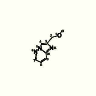 COCc1cn2ncccc2n1